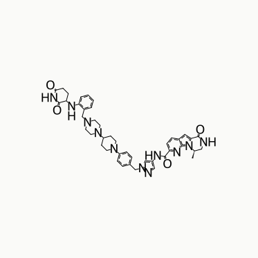 C[C@@H]1CNC(=O)c2cc3ccc(C(=O)Nc4cnn(Cc5ccc(N6CCC(N7CCN(Cc8ccccc8NC8CCC(=O)NC8=O)CC7)CC6)cc5)c4)nc3n21